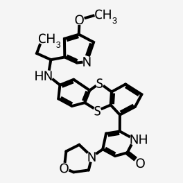 CCC(Nc1ccc2c(c1)Sc1cccc(-c3cc(N4CCOCC4)cc(=O)[nH]3)c1S2)c1cncc(OC)c1